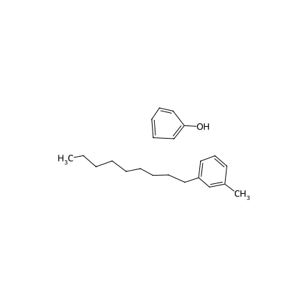 CCCCCCCCCc1cccc(C)c1.Oc1ccccc1